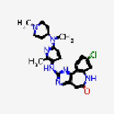 Cc1nc(N(C)C2CCN(C)CC2)ccc1Nc1ncc2c(n1)-c1ccc(Cl)cc1NC(=O)C2